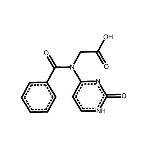 O=C(O)CN(C(=O)c1ccccc1)c1cc[nH]c(=O)n1